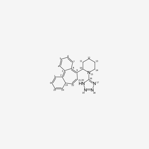 C1=CC2=c3ccccc3=C(C3CCCCN3c3nnn[nH]3)C=CC2C=C1